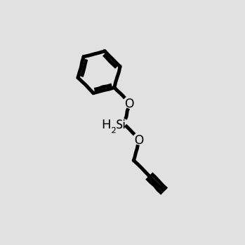 C#CCO[SiH2]Oc1ccccc1